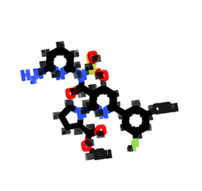 CC(C)COc1cc(F)cc(-c2ccc(C(=O)N(c3cccc(N)n3)[SH](=O)=O)c(N3CCC[C@@H]3C(=O)OC(C)(C)C)n2)c1